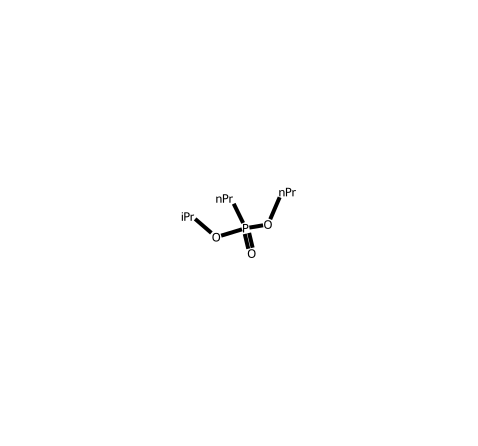 CCCOP(=O)(CCC)OC(C)C